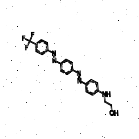 OCCNc1ccc(N=Nc2ccc(N=Nc3ccc(C(F)(F)F)cc3)cc2)cc1